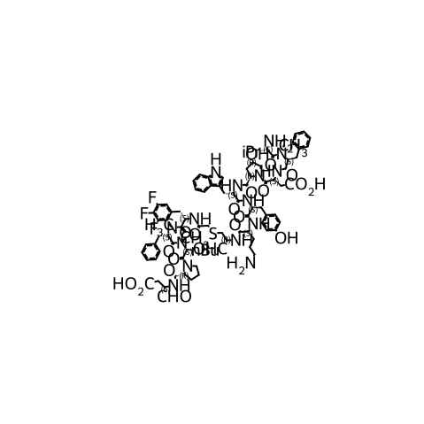 CCCC[C@@H](C(=O)N1CCC[C@@H]1C(=O)N[C@H](C=O)CC(=O)O)N(C)C(=O)[C@H](Cc1ccccc1)N(C)C(=O)[C@H](Cc1cc(F)c(F)c(F)c1)NC(=O)CSC[C@@H](C=O)NC(=O)[C@H](CCCN)NC(=O)[C@H](Cc1ccc(O)cc1)NC(=O)[C@H](Cc1c[nH]c2ccccc12)NC(=O)[C@H]1C[C@@H](O)CN1C(=O)[C@H](CC(=O)O)NC(=O)[C@H](Cc1ccccc1)N(C)C(=O)[C@@H](N)C(C)C